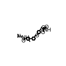 Cc1cc(C(=O)NCCN(C)C)ccc1-c1cccc(COc2ccc(Cn3oc(=O)[nH]c3=O)cc2)c1